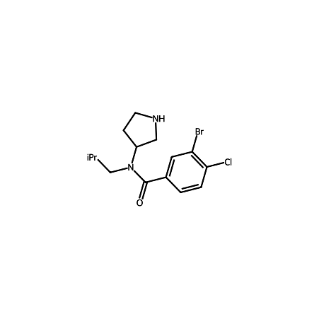 CC(C)CN(C(=O)c1ccc(Cl)c(Br)c1)C1CCNC1